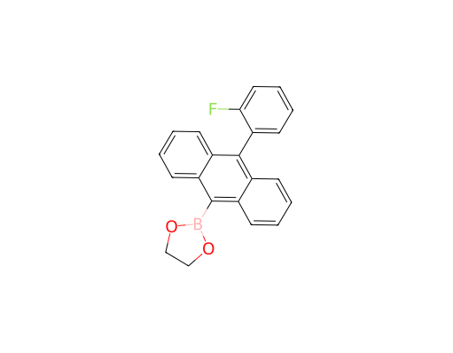 Fc1ccccc1-c1c2ccccc2c(B2OCCO2)c2ccccc12